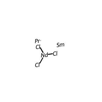 [Cl][Nd]([Cl])[Cl].[Pr].[Sm]